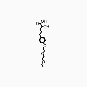 CCOCCOCCOc1ccc(CCCC(O)C(=O)O)cc1